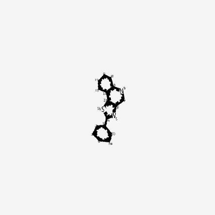 c1ccc(-c2nc3cnc4ccccc4c3s2)cc1